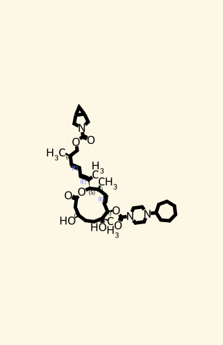 C/C(=C\C=C\[C@@H](C)COC(=O)N1CC2CC2C1)[C@H]1OC(=O)C[C@@H](O)CC[C@](C)(O)[C@H](OC(=O)N2CCN(C3CCCCCC3)CC2)/C=C/[C@@H]1C